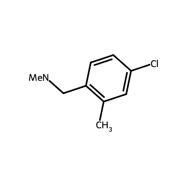 CNCc1ccc(Cl)cc1C